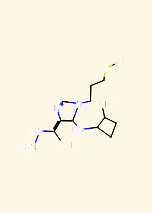 CSCCCN1C=N/C(=C(/C)NN)C1NC1CCC1C